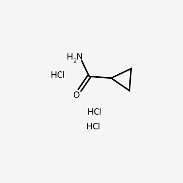 Cl.Cl.Cl.NC(=O)C1CC1